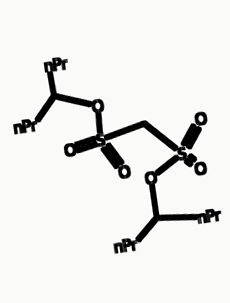 CCCC(CCC)OS(=O)(=O)CS(=O)(=O)OC(CCC)CCC